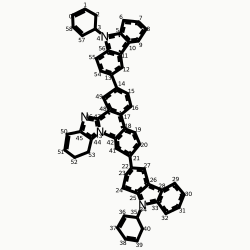 C1=CCC(n2c3ccccc3c3cc(-c4ccc5c6ccc(-c7ccc8c(c7)c7ccccc7n8C7C=CC=CC7)cc6n6c7c(nc6c5c4)C=CCC7)ccc32)C=C1